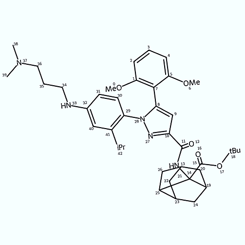 COc1cccc(OC)c1-c1cc(C(=O)NC2(C(=O)OC(C)(C)C)C3CC4CC(C3)C2C4)nn1-c1ccc(NCCCN(C)C)cc1C(C)C